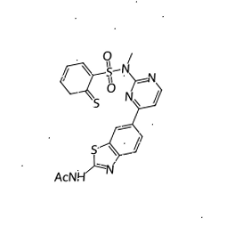 CC(=O)Nc1nc2ccc(-c3ccnc(N(C)S(=O)(=O)C4=CC=CCC4=S)n3)cc2s1